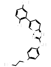 OCCOc1ccc(Nc2nc3ccc(-c4cc(O)ccc4Cl)cn3n2)cc1